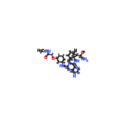 CNC(=O)COc1cccc(Nc2nc(N[C@]34[C@@H]5C=C[C@@H]3[C@]54C(N)=O)c3nc[nH]c3n2)c1